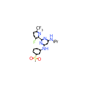 CC(C)Nc1cc(Nc2cccc(S(C)(=O)=O)c2)nc(-c2nc(C(F)(F)F)ccc2F)n1